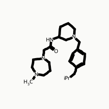 CC(C)Cc1ccc(CN2CCCC(NC(=O)CN3CCCN(C)CC3)C2)cc1